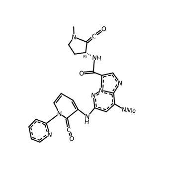 CNc1cc(NC2=CC=CN(c3ccccn3)C2=C=O)nn2c(C(=O)N[C@@H]3CCN(C)C3=C=O)cnc12